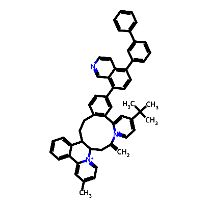 C=C1CC2C(CCc3ccc(-c4ccc(-c5cccc(-c6ccccc6)c5)c5ccncc45)cc3-c3cc(C(C)(C)C)cc[n+]31)c1ccccc1-c1cc(C)cc[n+]12